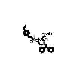 CC(C)NCC[C@@H]1N[C@H](CNC(=O)/C=C/c2ccc(CI)cc2)CCN(CC(c2ccccc2)c2ccccc2)C1=O